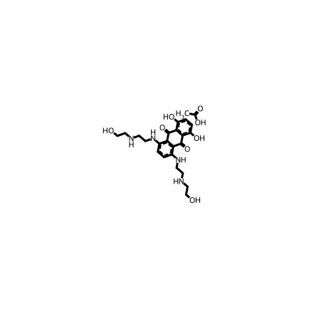 CC(=O)O.O=C1c2c(O)ccc(O)c2C(=O)c2c(NCCNCCO)ccc(NCCNCCO)c21